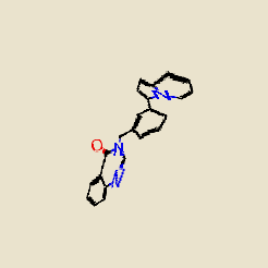 O=c1c2ccccc2ncn1Cc1cccc(-c2ccc3ccccn23)c1